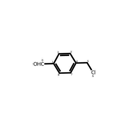 O=[C]c1ccc(CCl)cc1